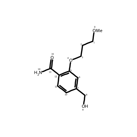 COCCCOc1cc(CO)ccc1C(N)=O